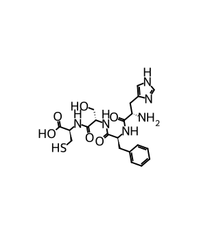 N[C@@H](Cc1c[nH]cn1)C(=O)N[C@@H](Cc1ccccc1)C(=O)N[C@@H](CO)C(=O)N[C@@H](CS)C(=O)O